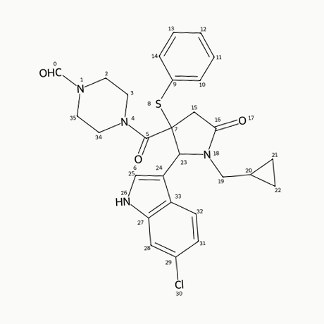 O=CN1CCN(C(=O)C2(Sc3ccccc3)CC(=O)N(CC3CC3)C2c2c[nH]c3cc(Cl)ccc23)CC1